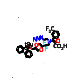 CC(C)(C)[Si](OCC1COC(C(F)(F)CN(CCN=[N+]=[N-])c2c(C(=O)O)oc3ccc(C(F)(F)F)cc23)CO1)(c1ccccc1)c1ccccc1